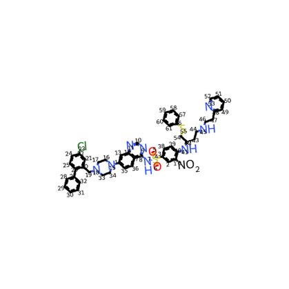 O=[N+]([O-])c1cc(S(=O)(=O)Nc2ncnc3cc(N4CCN(Cc5cc(Cl)ccc5-c5ccccc5)CC4)ccc23)ccc1N[C@H](CCNCCc1ccccn1)CSc1ccccc1